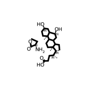 C[C@H](CCC(=O)O)[C@H]1CCC2C3C[C@H](O)C4C[C@H](O)CC[C@]4(C)C3CC[C@@]21C.N[C@H]1CCOC1=O